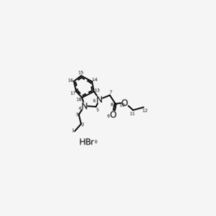 Br.CCCN1CN(CC(=O)OCC)c2ccccc21